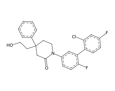 O=C1CC(CCO)(c2ccccc2)CCN1c1ccc(F)c(-c2ccc(F)cc2Cl)c1